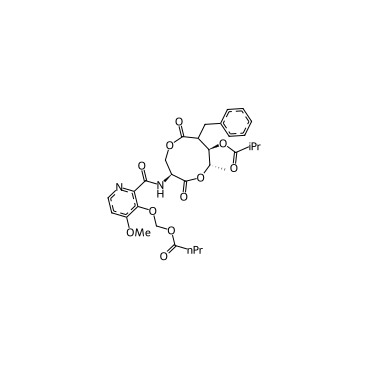 CCCC(=O)OCOc1c(OC)ccnc1C(=O)N[C@H]1COC(=O)C(Cc2ccccc2)[C@@H](OC(=O)C(C)C)[C@H](C)OC1=O